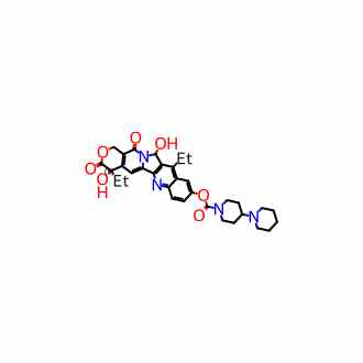 CCc1c2c(nc3ccc(OC(=O)N4CCC(N5CCCCC5)CC4)cc13)-c1cc3c(c(=O)n1C2O)COC(=O)[C@]3(O)CC